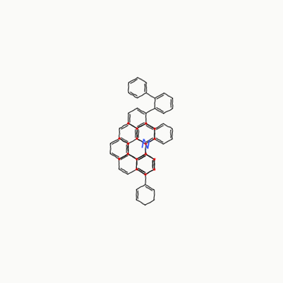 C1=CC(c2ccc(N(c3ccccc3-c3ccccc3-c3ccccc3-c3ccccc3)c3ccccc3-c3cccc4cccc(-c5ccccc5)c34)c(-c3ccccc3)c2)=CCC1